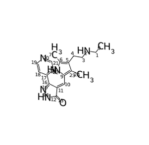 CCNCCc1c(C)[nH]c(/C=C2/C(=O)NN=C2c2ccncn2)c1C